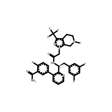 NC(=O)c1cc(-c2cccnc2[C@H](Cc2cc(F)cc(F)c2)NC(=O)Cn2nc(C(F)(F)F)c3c2CN(F)CC3)ccc1F